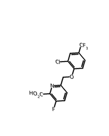 O=C(O)c1nc(COc2ccc(C(F)(F)F)cc2Cl)ccc1F